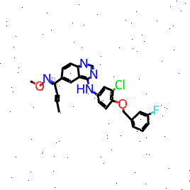 CC#C/C(=N\OC)c1ccc2ncnc(Nc3ccc(OCc4cccc(F)c4)c(Cl)c3)c2c1